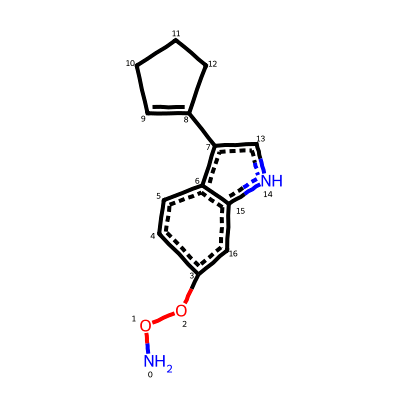 NOOc1ccc2c(C3=CCCC3)c[nH]c2c1